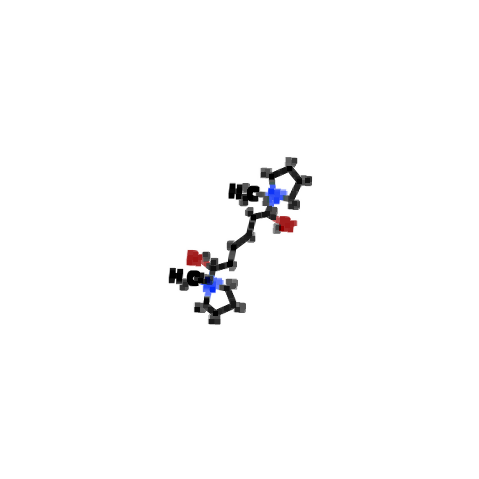 C[N+]1(C(Br)CCCCC(Br)[N+]2(C)CCCC2)CCCC1